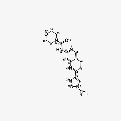 Cn1cc(-c2ccc3cnc(NC(=O)N4CCOCC4)cc3n2)nn1